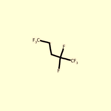 FC(F)(F)[CH]CC(F)(F)C(F)(F)F